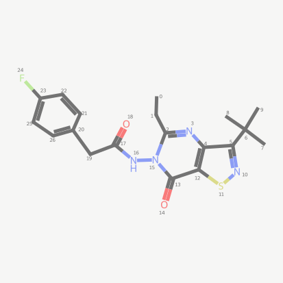 CCc1nc2c(C(C)(C)C)nsc2c(=O)n1NC(=O)Cc1ccc(F)cc1